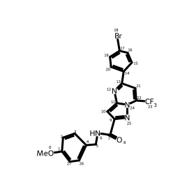 COc1ccc(CNC(=O)c2cc3nc(-c4ccc(Br)cc4)cc(C(F)(F)F)n3n2)cc1